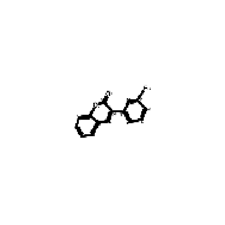 O=c1oc2ccccc2cc1-c1cccc(F)c1